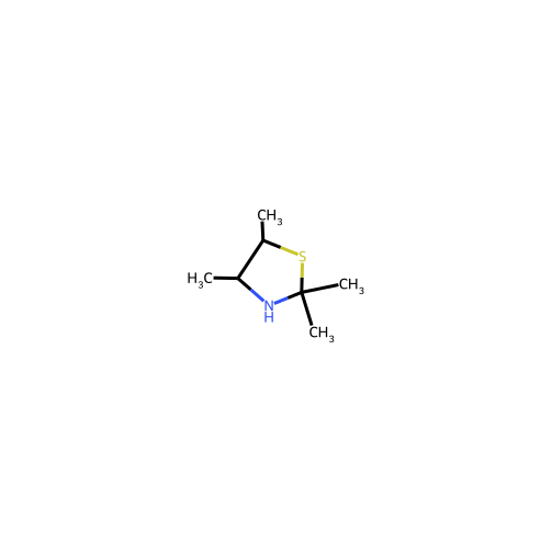 CC1NC(C)(C)SC1C